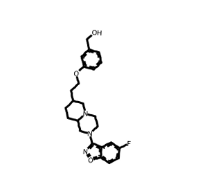 OCc1cccc(OCCC2CCC3CN(c4noc5ccc(F)cc45)CCN3C2)c1